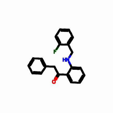 O=C(Cc1ccccc1)c1ccccc1NCc1ccccc1F